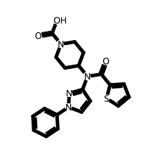 O=C(O)N1CCC(N(C(=O)c2cccs2)c2ccn(-c3ccccc3)n2)CC1